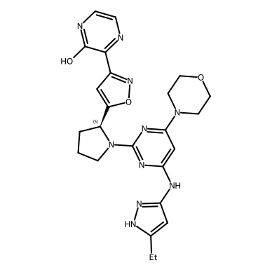 CCc1cc(Nc2cc(N3CCOCC3)nc(N3CCC[C@H]3c3cc(-c4nccnc4O)no3)n2)n[nH]1